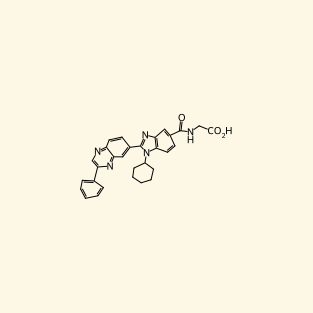 O=C(O)CNC(=O)c1ccc2c(c1)nc(-c1ccc3ncc(-c4ccccc4)nc3c1)n2C1CCCCC1